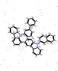 C1=CC2c3cc(-c4cccc5c4N(c4cccc(-c6ccccc6)c4)C4C=CC=CC54)ccc3N(c3ccc4ccccc4c3)C2C=C1